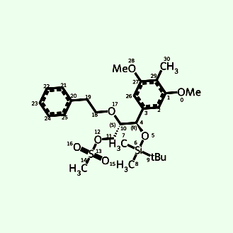 COc1cc([C@@H](O[Si](C)(C)C(C)(C)C)[C@H](COS(C)(=O)=O)OCCc2ccccc2)cc(OC)c1C